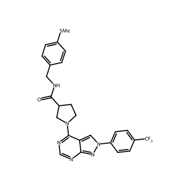 CSc1ccc(CNC(=O)C2CCN(c3ncnc4nn(-c5ccc(C(F)(F)F)cc5)cc34)C2)cc1